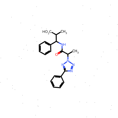 CC(C(=O)O)C(NC(=O)C(C)n1nnc(-c2ccccc2)n1)c1ccccc1